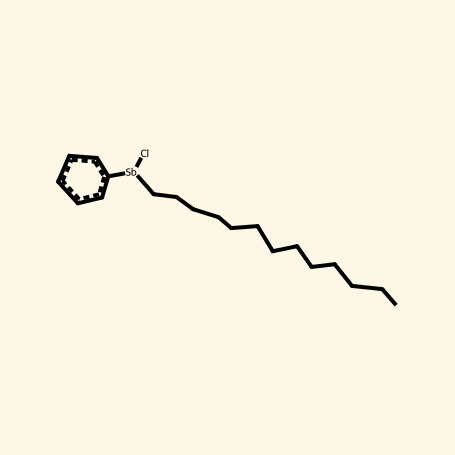 CCCCCCCCCCCC[CH2][Sb]([Cl])[c]1ccccc1